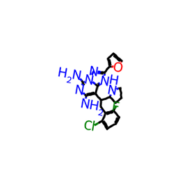 Nc1nc(N)n2nc(-c3ccco3)nc2c1C(Cc1c(F)cccc1Cl)C1CCCN1